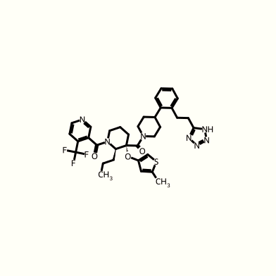 CCC[C@H]1N(C(=O)c2cnccc2C(F)(F)F)CCC[C@@]1(Oc1csc(C)c1)C(=O)N1CCC(c2ccccc2CCc2nnn[nH]2)CC1